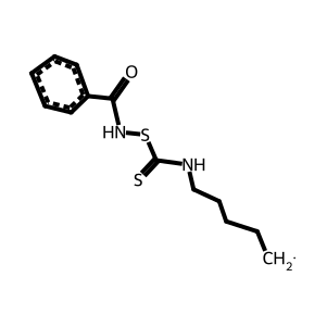 [CH2]CCCCNC(=S)SNC(=O)c1ccccc1